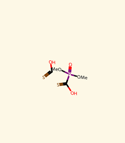 COP(=O)(OC)C(O)=S.OC=S